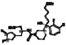 CNC[C@H](CC1C[C@@H](F)[C@@H](F)C1)NC(=O)N1CCC[C@@H]([C@@](O)(CCCCOC)c2cccc(Cl)c2F)C1